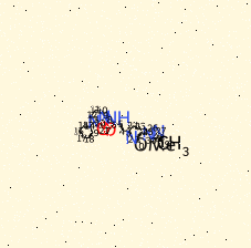 COc1nc(C=CC(=O)NN2CCCN(c3ccccc3)C2=O)ccc1-n1cnc(C)c1